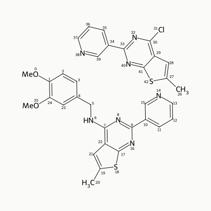 COc1ccc(CNc2nc(-c3cccnc3)nc3sc(C)cc23)cc1OC.Cc1cc2c(Cl)nc(-c3cccnc3)nc2s1